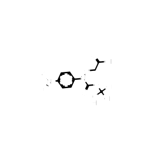 CC(C)(C)OC(=O)N(OCC(=O)O)c1ccc([N+](=O)[O-])cc1